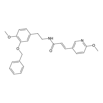 COc1ccc(C=CC(=O)NCCc2ccc(OC)c(OCc3ccccc3)c2)cn1